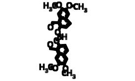 COc1cc2ccc(OBOc3ccc4cc(OC)c(OC)cc4c3C=O)c(C=O)c2cc1OC